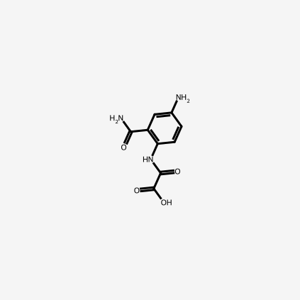 NC(=O)c1cc(N)ccc1NC(=O)C(=O)O